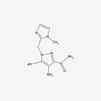 CCCc1c(N)c(C(N)=O)nn1Cc1nccn1C